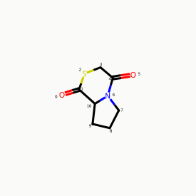 O=C1SCC(=O)N2CCCC12